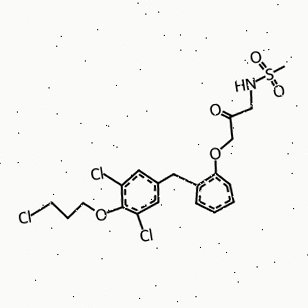 CS(=O)(=O)NCC(=O)COc1ccccc1Cc1cc(Cl)c(OCCCCl)c(Cl)c1